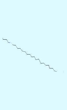 O=C(O)CCCCCCCCCCCCCCCCCCCNCCCC(=O)O